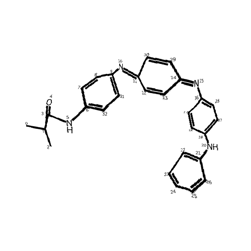 CC(C)C(=O)Nc1ccc(N=C2C=CC(=Nc3ccc(Nc4ccccc4)cc3)C=C2)cc1